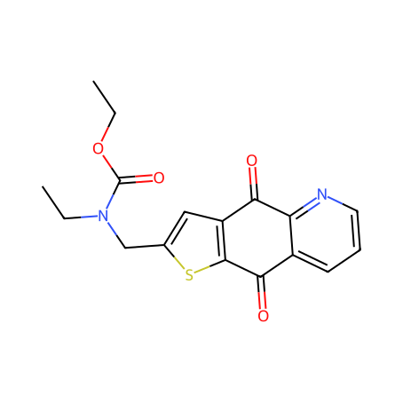 CCOC(=O)N(CC)Cc1cc2c(s1)C(=O)c1cccnc1C2=O